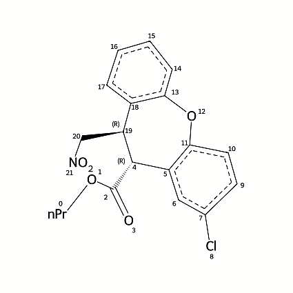 CCCOC(=O)[C@H]1c2cc(Cl)ccc2Oc2ccccc2[C@@H]1C[N+](=O)[O-]